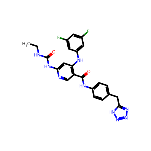 CCNC(=O)Nc1cc(Nc2cc(F)cc(F)c2)c(C(=O)Nc2ccc(Cc3nnn[nH]3)cc2)cn1